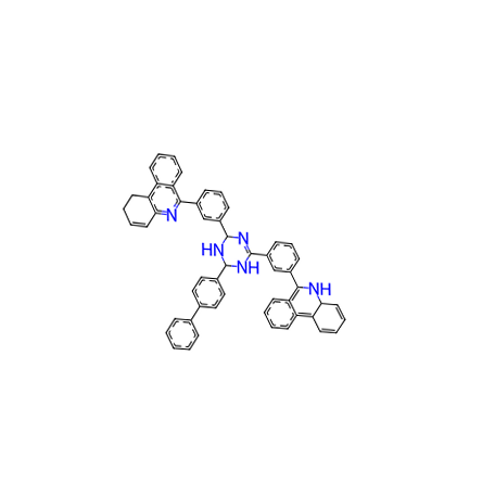 C1=CC2=c3ccccc3=C(c3cccc(C4=NC(c5cccc(-c6nc7c(c8ccccc68)CCC=C7)c5)NC(c5ccc(-c6ccccc6)cc5)N4)c3)NC2C=C1